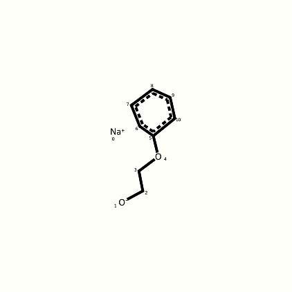 [Na+].[O-]CCOc1ccccc1